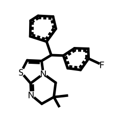 CC1(C)CN=C2SC=C(C(c3ccccc3)c3ccc(F)cc3)N2C1